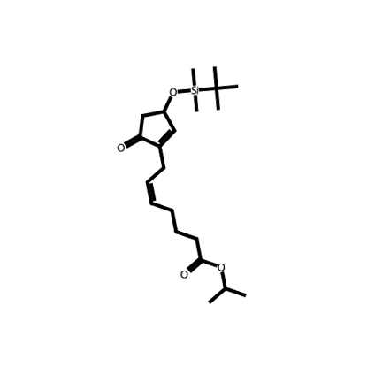 CC(C)OC(=O)CCC/C=C\CC1=CC(O[Si](C)(C)C(C)(C)C)CC1=O